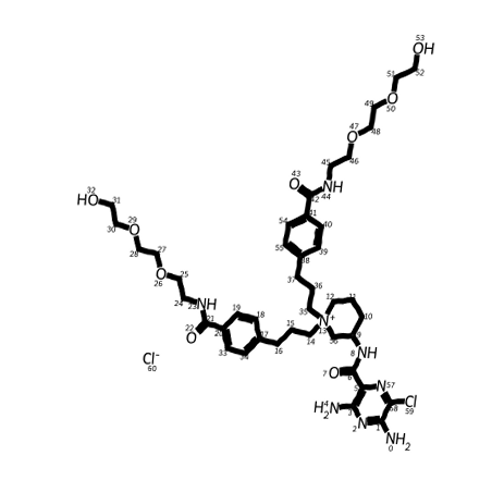 Nc1nc(N)c(C(=O)NC2CCC[N+](CCCc3ccc(C(=O)NCCOCCOCCO)cc3)(CCCc3ccc(C(=O)NCCOCCOCCO)cc3)C2)nc1Cl.[Cl-]